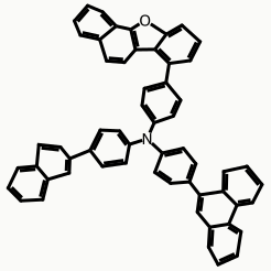 c1ccc2cc(-c3ccc(N(c4ccc(-c5cc6ccccc6c6ccccc56)cc4)c4ccc(-c5cccc6oc7c8ccccc8ccc7c56)cc4)cc3)ccc2c1